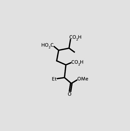 CCC(C(=O)OC)C(CC(C(=O)O)C(C)C(=O)O)C(=O)O